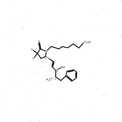 C[C@@H](Cc1ccccc1)[C@H](O)/C=C/[C@H]1CC(F)(F)C(=O)N1CCCCCCC(=O)O